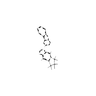 [2H]c1c2c(c([2H])c3c1ncn3-c1ccc3oc4ccccc4c3c1)C(C)(C)C(C)(C)C2(C)C